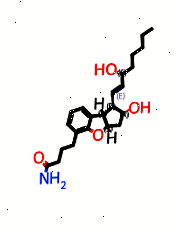 CCCCC[C@H](O)/C=C/[C@@H]1[C@H]2c3cccc(CCCC(N)=O)c3O[C@H]2C[C@H]1O